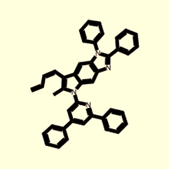 C=C/C=C\c1c(C)n(-c2cc(-c3ccccc3)cc(-c3ccccc3)n2)c2cc3nc(-c4ccccc4)n(-c4ccccc4)c3cc12